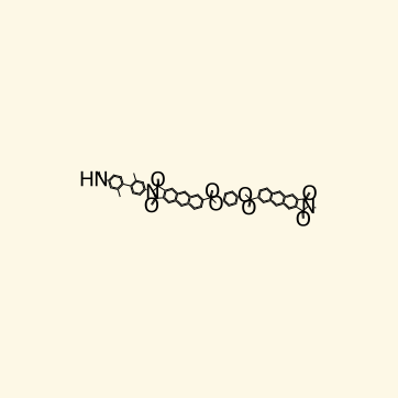 CNc1ccc(-c2ccc(N3C(=O)c4cc5cc6ccc(C(=O)Oc7ccc(OC(=O)c8ccc9cc%10cc%11c(cc%10cc9c8)C(=O)N(C)C%11=O)cc7)cc6cc5cc4C3=O)cc2C)c(C)c1